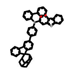 c1ccc(-c2ccccc2N(c2ccc(-c3ccc4c(c3)-c3ccccc3C43C4CC5CC(C4)CC3C5)cc2)c2ccc3c(c2)oc2ccccc23)cc1